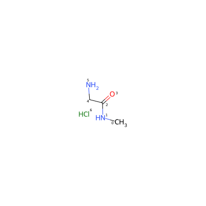 CNC(=O)CN.Cl